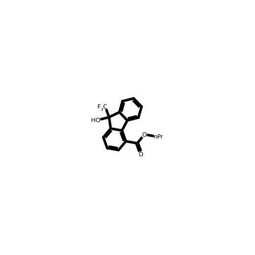 CCCOC(=O)c1cccc2c1-c1ccccc1C2(O)C(F)(F)F